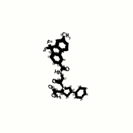 Cc1ccc2c(c1)C(F)(F)c1ccc(C(=O)NCC(=O)N3C[C@@H](C4CCCCC4)CC3C(=O)O)cc1-2